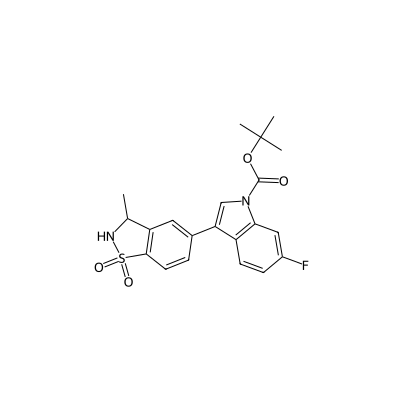 CC1NS(=O)(=O)c2ccc(-c3cn(C(=O)OC(C)(C)C)c4cc(F)ccc34)cc21